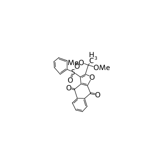 COC(C)(OC)c1oc2c(c1S(=O)(=O)c1ccccc1)C(=O)c1ccccc1C2=O